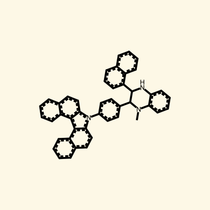 CN1c2ccccc2NC(c2cccc3ccccc23)C1c1ccc(-n2c3ccc4ccccc4c3c3c4ccccc4ccc32)cc1